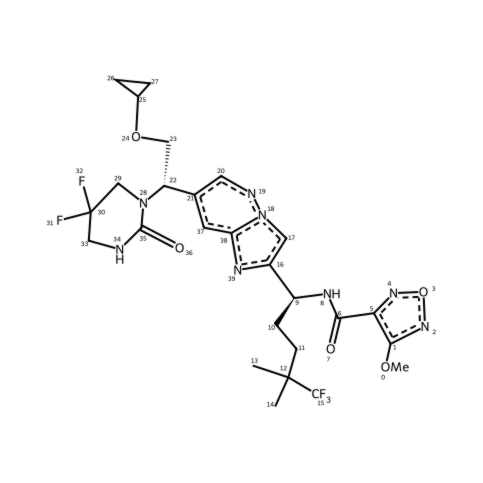 COc1nonc1C(=O)N[C@@H](CCC(C)(C)C(F)(F)F)c1cn2ncc([C@@H](COC3CC3)N3CC(F)(F)CNC3=O)cc2n1